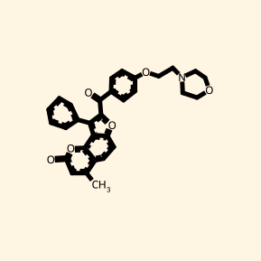 Cc1cc(=O)oc2c1ccc1oc(C(=O)c3ccc(OCCN4CCOCC4)cc3)c(-c3ccccc3)c12